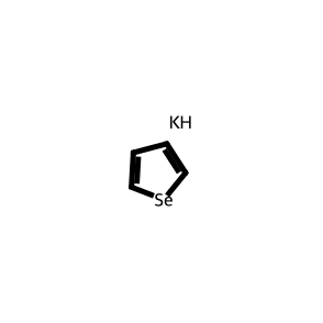 [KH].c1cc[se]c1